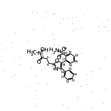 CN(O)C(=O)CCc1nc(-c2ccccc2)c(-c2ccccc2S(N)(=O)=O)o1